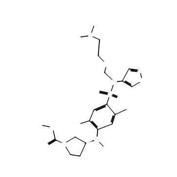 Cc1cc(S(=O)(=O)N(COCC[SH](C)C)c2cnsc2)c(F)cc1N(C)[C@H]1CCN(C(=O)OC(C)(C)C)C1